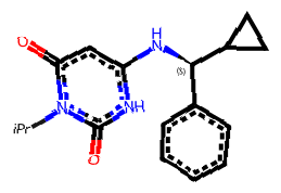 CC(C)n1c(=O)cc(N[C@H](c2ccccc2)C2CC2)[nH]c1=O